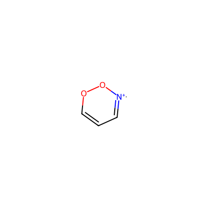 C1=COO[N+]=C1